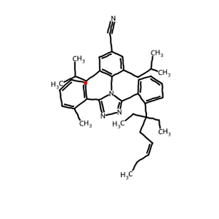 CC/C=C\CC(CC)(CC)c1ccccc1-c1nnc(-c2ccccc2C)n1-c1c(CC(C)C)cc(C#N)cc1CC(C)C